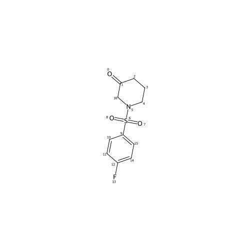 O=C1CCCN(S(=O)(=O)c2ccc(F)cc2)C1